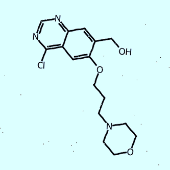 OCc1cc2ncnc(Cl)c2cc1OCCCN1CCOCC1